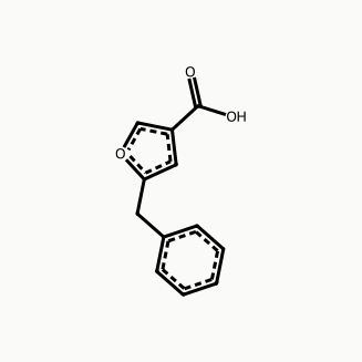 O=C(O)c1coc(Cc2ccccc2)c1